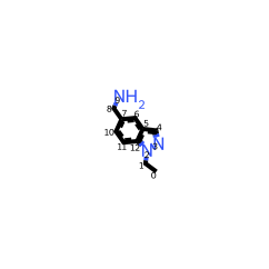 CCn1ncc2cc(CN)ccc21